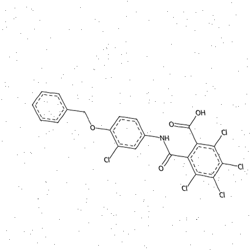 O=C(O)c1c(Cl)c(Cl)c(Cl)c(Cl)c1C(=O)Nc1ccc(OCc2ccccc2)c(Cl)c1